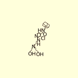 O=C(NCC12CC3CC(CC(C3)C1)C2)c1ccnc(NCCCN(CCCO)CCCO)c1Cl